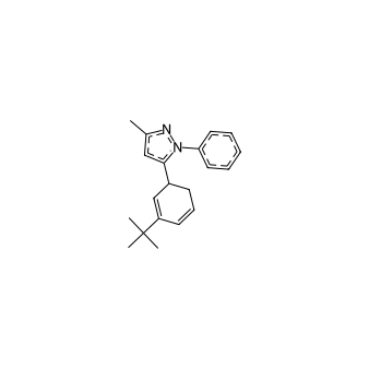 Cc1cc(C2C=C(C(C)(C)C)C=CC2)n(-c2ccccc2)n1